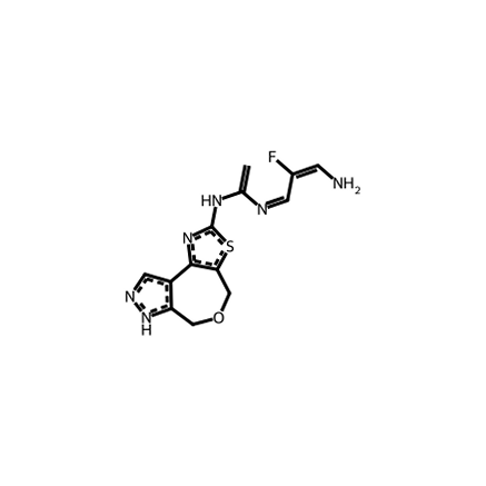 C=C(/N=C\C(F)=C/N)Nc1nc2c(s1)COCc1[nH]ncc1-2